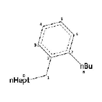 CCCCCCCCc1[c]cccc1CCCC